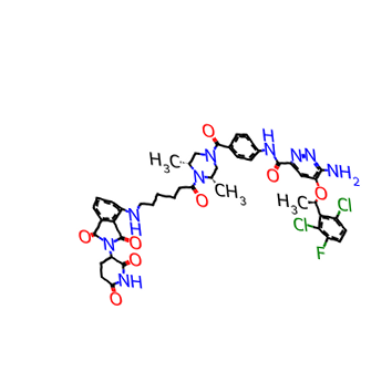 C[C@@H]1CN(C(=O)c2ccc(NC(=O)c3cc(O[C@H](C)c4c(Cl)ccc(F)c4Cl)c(N)nn3)cc2)C[C@H](C)N1C(=O)CCCCCNc1cccc2c1C(=O)N(C1CCC(=O)NC1=O)C2=O